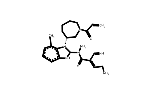 C=CC(=O)N1CCCC[C@@H](N2c3c(C)cccc3NC2N(N)C(=O)/C(C=N)=C/CN)C1